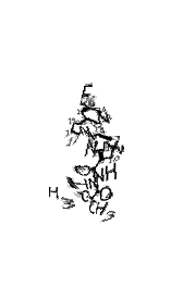 CC(C)C(=O)NNC(=O)c1cnn2ccc(N3CCCC3c3cncc(F)c3)nc12